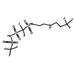 O=S(=O)(NS(=O)(=O)C(F)(F)S(=O)(=O)NCCNCCC(F)(F)F)C(F)(F)F